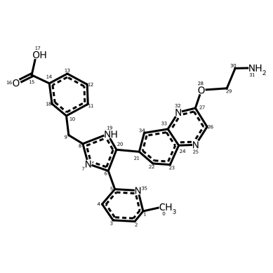 Cc1cccc(-c2nc(Cc3cccc(C(=O)O)c3)[nH]c2-c2ccc3ncc(OCCN)nc3c2)n1